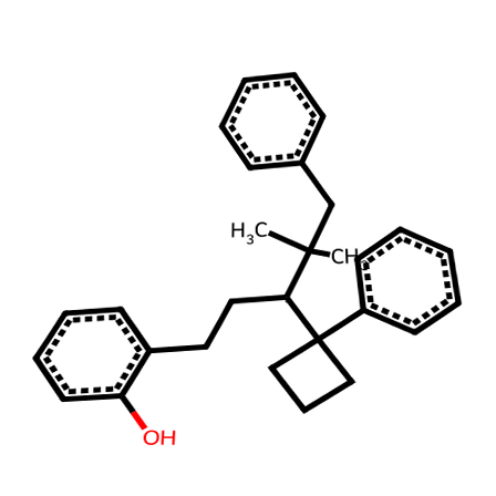 CC(C)(Cc1ccccc1)[C](CCc1ccccc1O)C1(c2ccccc2)CCC1